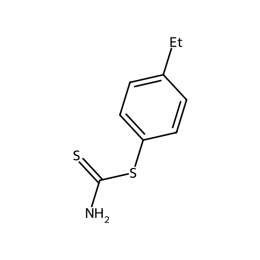 CCc1ccc(SC(N)=S)cc1